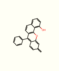 C=c1ccc2c(c1)Oc1c(ccc3cccc(O)c13)C=2c1ccccc1